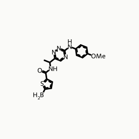 Bc1ccc(C(=O)NC(C)c2cnc(Nc3ccc(OC)cc3)nn2)s1